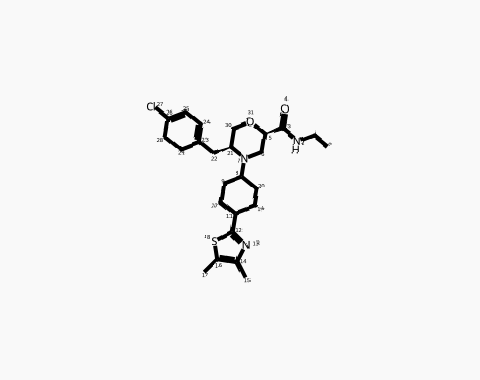 CCNC(=O)[C@H]1CN(C2CCC(c3nc(C)c(C)s3)CC2)[C@@H](CC2=CC=C(Cl)CC2)CO1